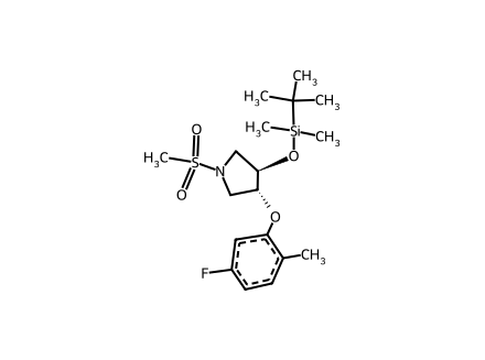 Cc1ccc(F)cc1O[C@@H]1CN(S(C)(=O)=O)C[C@H]1O[Si](C)(C)C(C)(C)C